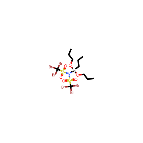 CCCO[Si](CCC)(OCCC)N(S(=O)(=O)C(Br)(Br)Br)S(=O)(=O)C(Br)(Br)Br